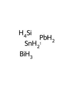 [BiH3].[PbH2].[SiH4].[SnH2]